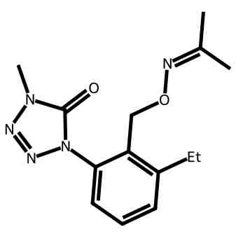 CCc1cccc(-n2nnn(C)c2=O)c1CON=C(C)C